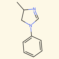 CC1CN(c2ccccc2)C=N1